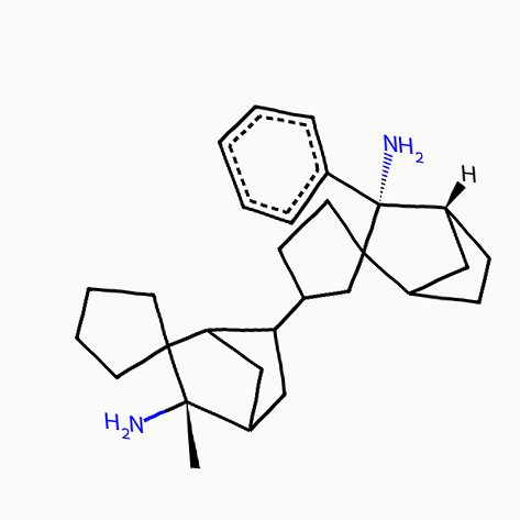 C[C@]1(N)C2CC(C3CCC4(C3)C3CC[C@H](C3)[C@]4(N)c3ccccc3)C(C2)C12CCCC2